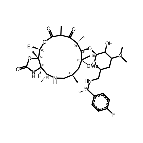 CC[C@H]1OC(=O)C(C)C(=O)[C@H](C)[C@@H](O[C@@H]2OC(CN[C@@H](C)c3ccc(F)cc3)CC(N(C)C)C2O)[C@](C)(OC)C[C@@H](C)CN[C@H](C)[C@H]2NC(=O)O[C@@]21C